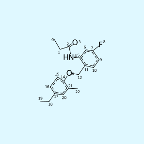 CCC(=O)Nc1cc(F)ccc1COc1ccc(CC)cc1C